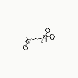 Cc1cc(N2CCCCC2)nn1CCCCC[S+]([O-])c1nc(-c2ccccc2)c(-c2ccccc2)[nH]1